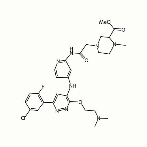 COC(=O)C1CN(CC(=O)Nc2cc(Nc3cc(-c4cc(Cl)ccc4F)nnc3OCCN(C)C)ccn2)CCN1C